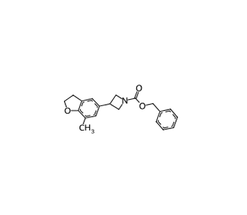 Cc1cc(C2CN(C(=O)OCc3ccccc3)C2)cc2c1OCC2